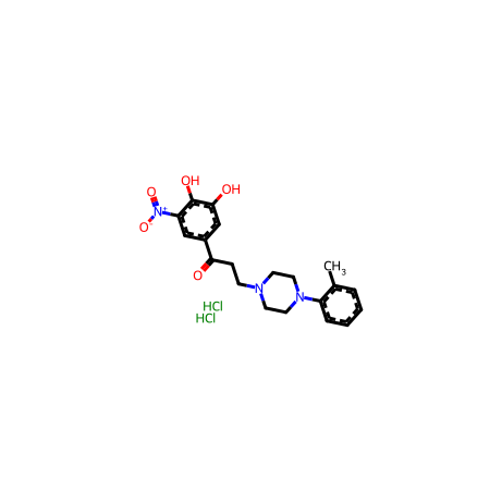 Cc1ccccc1N1CCN(CCC(=O)c2cc(O)c(O)c([N+](=O)[O-])c2)CC1.Cl.Cl